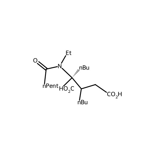 CCCCCC(=O)N(CC)[C@](CCCC)(C(=O)O)C(CCCC)CC(=O)O